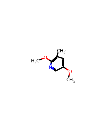 [CH2]c1cc(OC)cnc1OC